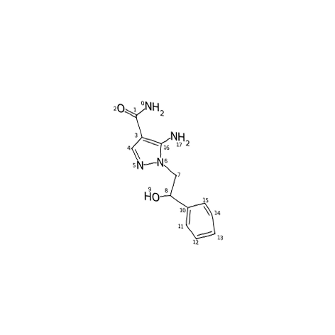 NC(=O)c1cnn(CC(O)c2ccccc2)c1N